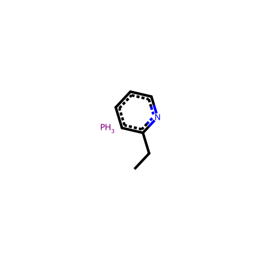 CCc1ccccn1.P